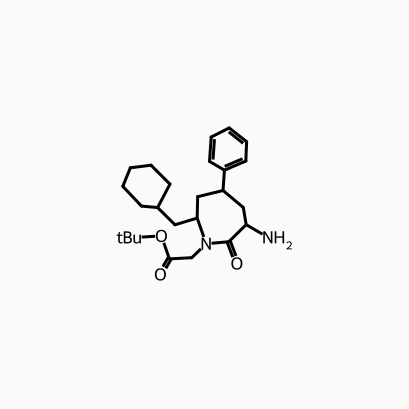 CC(C)(C)OC(=O)CN1C(=O)C(N)CC(c2ccccc2)CC1CC1CCCCC1